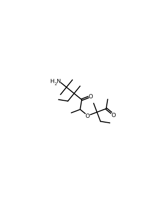 CCC(C)(OC(C)C(=O)C(C)(CC)C(C)(C)N)C(C)=O